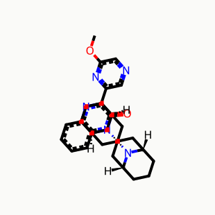 COc1cncc(-c2nc3ccccc3n([C@H]3C[C@H]4CCC[C@@H](C3)N4[C@H]3C[C@@H]4CCC[C@@H](C4)C3)c2=O)n1